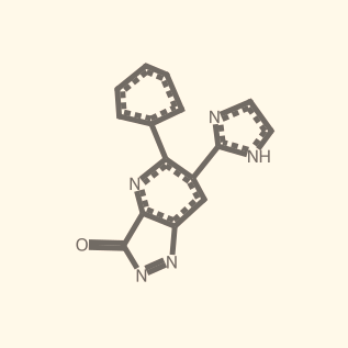 O=C1N=Nc2cc(-c3ncc[nH]3)c(-c3ccccc3)nc21